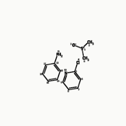 C[S+](C)[O-].Clc1ccccn1.Pc1ccccc1